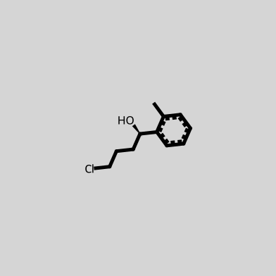 Cc1ccccc1[C@H](O)CCCCl